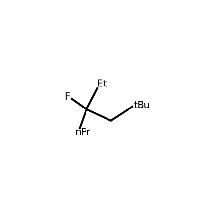 CCCC(F)(CC)CC(C)(C)C